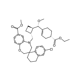 CCOC(=O)[C@@H]1CC=C([C@@H](OC)[C@@H]2CC[C@H]2CN2CC3(CCCc4cc(Cl)ccc43)COc3ccc(C(=O)OC)cc32)CC1